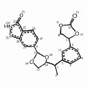 CC(c1cccc(C2COC(=O)O2)c1)C1COC(c2ccc3c(=O)[nH]sc3c2)O1